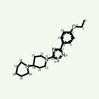 CCOc1ccc(-c2nsc(N3CCC(N4CCCCC4)CC3)n2)cc1